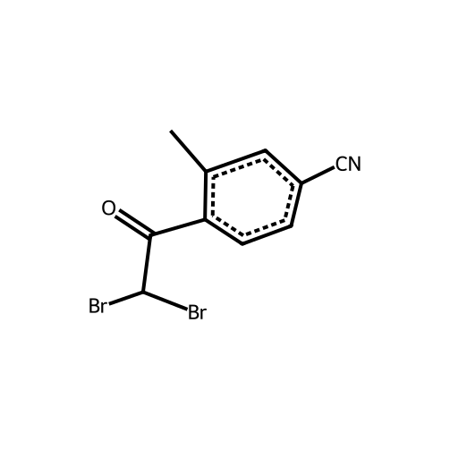 Cc1cc(C#N)ccc1C(=O)C(Br)Br